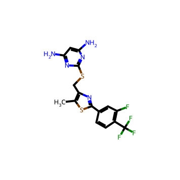 Cc1sc(-c2ccc(C(F)(F)F)c(F)c2)nc1CSc1nc(N)cc(N)n1